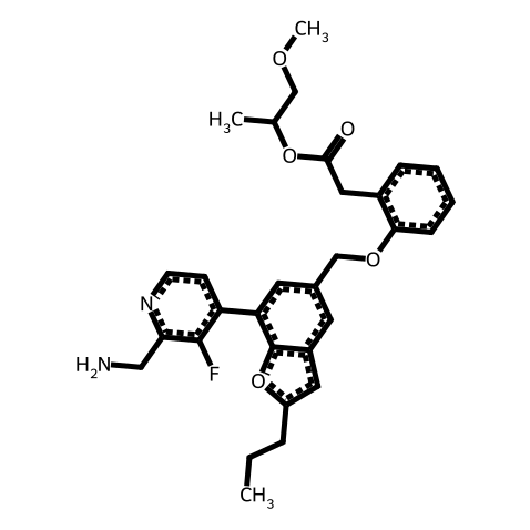 CCCc1cc2cc(COc3ccccc3CC(=O)OC(C)COC)cc(-c3ccnc(CN)c3F)c2o1